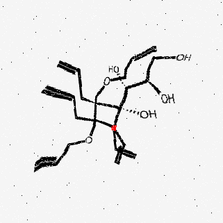 C=CCOC(CC=C)(CC=C)[C@](CC=C)(OCC=C)[C@](O)(CC=C)[C@H](O)[C@H](O)CO